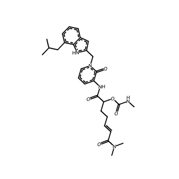 CNC(=O)OC(CCC=CC(=O)N(C)C)C(=O)Nc1cccn(Cc2cc3cccc(CC(C)C)c3[nH]2)c1=O